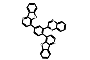 c1ccc2nc(-c3cc(-c4ccnc5c4oc4ccccc45)ccc3-c3ccnc4c3oc3ccccc34)cnc2c1